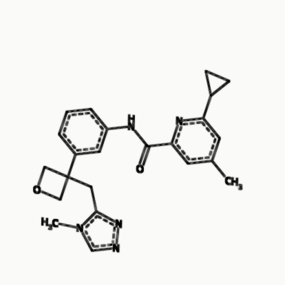 Cc1cc(C(=O)Nc2cccc(C3(Cc4nncn4C)COC3)c2)nc(C2CC2)c1